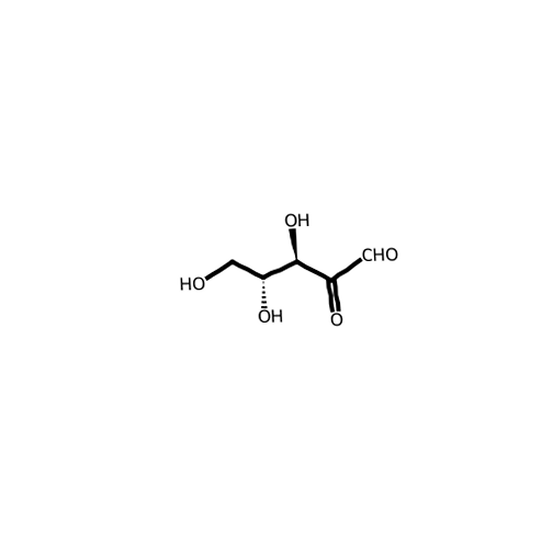 O=CC(=O)[C@H](O)[C@H](O)CO